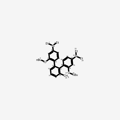 CCCCOc1cc(N(CC)CC)ccc1-c1cccc(C)c1-c1ccc(N(CC)CC)cc1OCCCC